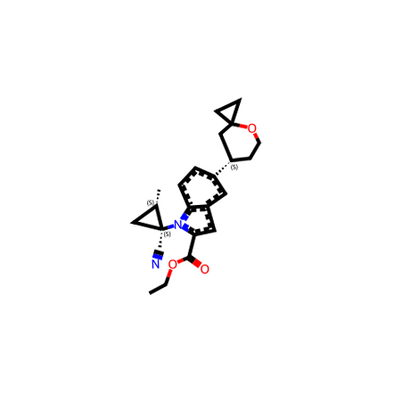 CCOC(=O)c1cc2cc([C@H]3CCOC4(CC4)C3)ccc2n1[C@@]1(C#N)C[C@@H]1C